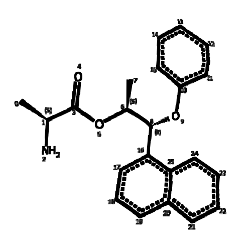 C[C@H](N)C(=O)O[C@@H](C)[C@H](Oc1ccccc1)c1cccc2ccccc12